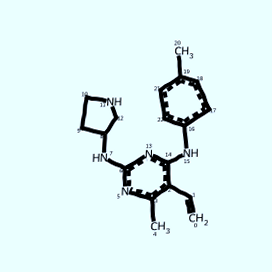 C=Cc1c(C)nc(NC2CCNC2)nc1Nc1ccc(C)cc1